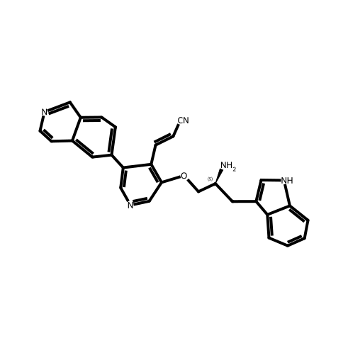 N#CC=Cc1c(OC[C@@H](N)Cc2c[nH]c3ccccc23)cncc1-c1ccc2cnccc2c1